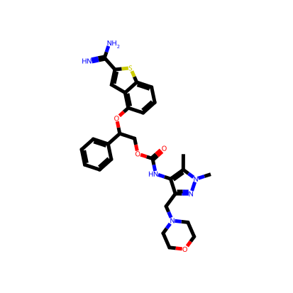 Cc1c(NC(=O)OCC(Oc2cccc3sc(C(=N)N)cc23)c2ccccc2)c(CN2CCOCC2)nn1C